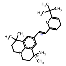 CC(C)(C)C1=CCC=C(/C=C/c2cc3c4c(c2)[C@@](C)(N)CCN4CCC3(C)C)O1